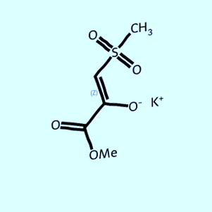 COC(=O)/C([O-])=C/S(C)(=O)=O.[K+]